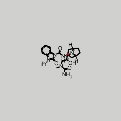 CC(C)n1c(=O)n(C(=O)N[C@@H]2C[C@H]3CC[C@@H](C2)N3C[C@@H](O)CN(C)C(N)=O)c2ccccc21